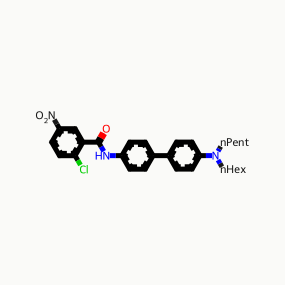 CCCCCCN(CCCCC)c1ccc(-c2ccc(NC(=O)c3cc([N+](=O)[O-])ccc3Cl)cc2)cc1